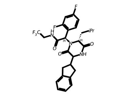 CC(C)C[C@@H]1C(=O)NC(C2Cc3ccccc3C2)C(=O)N1[C@@H](C(=O)NCC(F)(F)F)c1ccc(F)cc1F